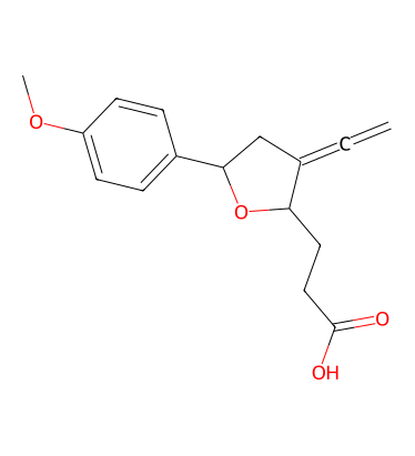 C=C=C1CC(c2ccc(OC)cc2)OC1CCC(=O)O